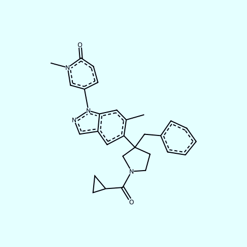 Cc1cc2c(cnn2-c2ccc(=O)n(C)c2)cc1C1(Cc2ccccc2)CCN(C(=O)C2CC2)C1